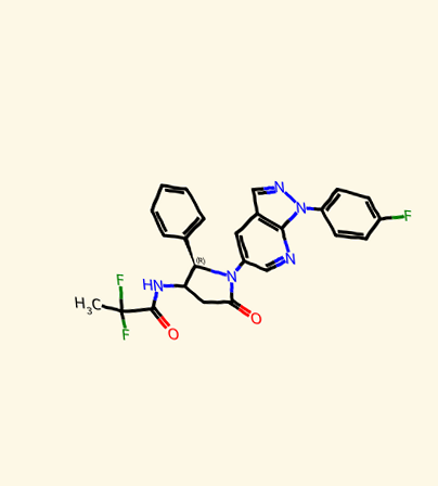 CC(F)(F)C(=O)NC1CC(=O)N(c2cnc3c(cnn3-c3ccc(F)cc3)c2)[C@@H]1c1ccccc1